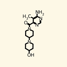 Cc1c(N)ncnc1C(=O)N1CCC(N2CCC(O)CC2)CC1